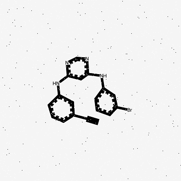 C#Cc1cccc(Nc2cc(Nc3cccc(Br)c3)ncn2)c1